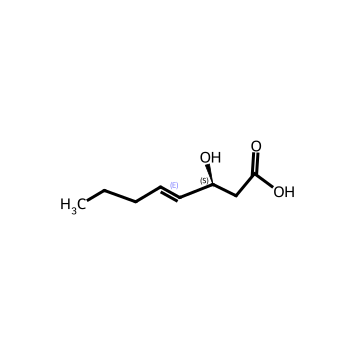 CCC/C=C/[C@@H](O)CC(=O)O